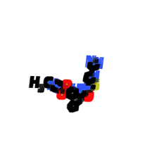 CN1CCN(S(=O)(=O)c2ccc([C@@H](CC3CCCC3)C(=O)NN3CSc4nc(-c5cncnc5)ccc43)cc2)CC1